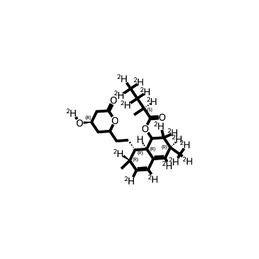 [2H]O[C@H]1CC(=O)OC(CC[C@@H]2[C@@H]3C(=C([2H])[C@]([2H])(C([2H])([2H])[2H])C([2H])([2H])C3OC(=O)[C@@]([2H])(C)C([2H])([2H])C([2H])([2H])[2H])C([2H])=C([2H])[C@]2([2H])C)C1